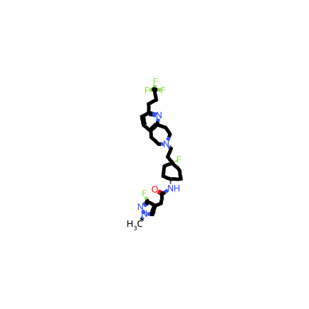 Cn1cc(CC(=O)N[C@H]2CC[C@](F)(CCN3CCc4ccc(CCC(F)(F)F)nc4CC3)CC2)c(F)n1